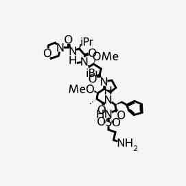 CC[C@H](C)[C@@H]([C@@H](CC(=O)N1CCC[C@H]1[C@H](OC)[C@@H](C)C(=O)N[C@@H](Cc1ccccc1)C(=O)NS(=O)(=O)CCCN)OC)N(C)C(=O)[C@@H](NC(=O)N1CCOCC1)C(C)C